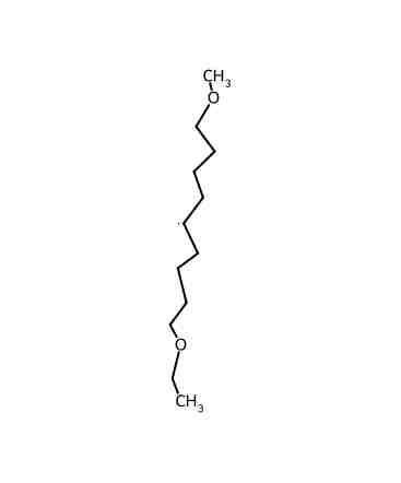 CCOCCCC[CH]CCCCOC